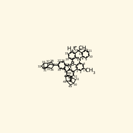 Cc1cc2c3c(c1)N1c4ccccc4C(C)(C)c4cccc(c41)B3n1c3ccc(C45CC6CC7CC6(C4)C7C5)cc3c3cc(C45C6CCC4CC5C6)cc-2c31